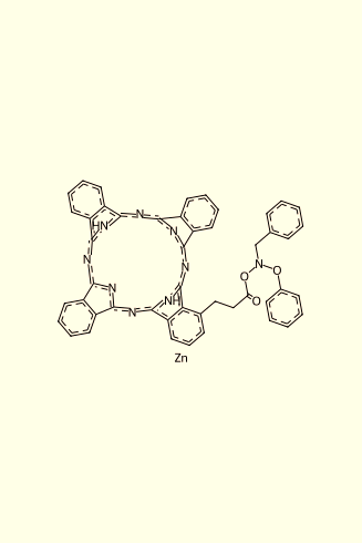 O=C(CCc1cccc2c3nc4nc(nc5[nH]c(nc6nc(nc([nH]3)c12)-c1ccccc1-6)c1ccccc51)-c1ccccc1-4)ON(Cc1ccccc1)Oc1ccccc1.[Zn]